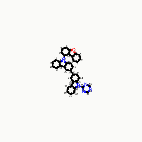 c1ccc2c(c1)oc1cccc(-n3c4ccccc4c4cc(-c5ccc6c(c5)c5ccccc5n6-c5ncncn5)ccc43)c12